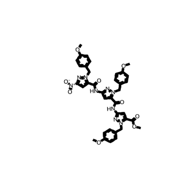 COC(=O)c1cc(NC(=O)c2cc(NC(=O)c3cc([N+](=O)[O-])nn3Cc3ccc(OC)cc3)nn2Cc2ccc(OC)cc2)nn1Cc1ccc(OC)cc1